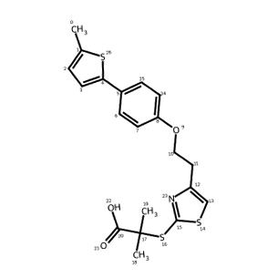 Cc1ccc(-c2ccc(OCCc3csc(SC(C)(C)C(=O)O)n3)cc2)s1